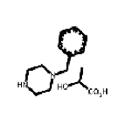 CC(O)C(=O)O.c1ccc(CN2CCNCC2)cc1